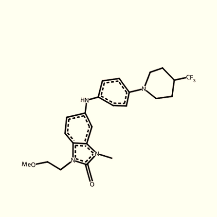 COCCn1c(=O)n(C)c2cc(Nc3ccc(N4CCC(C(F)(F)F)CC4)cc3)ccc21